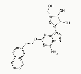 Nc1nc(OCCc2ccc3ccccc3c2)nc2c1ncn2[C@@H]1O[C@H](CO)C(O)C1O